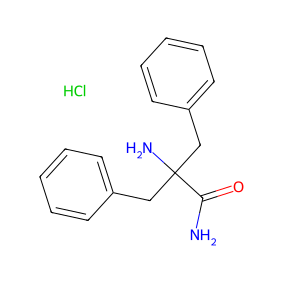 Cl.NC(=O)C(N)(Cc1ccccc1)Cc1ccccc1